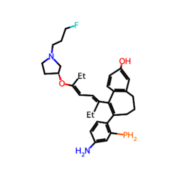 CC/C(=C\C=C(/CC)C1=C(c2ccc(N)cc2P)CCCc2cc(O)ccc21)O[C@H]1CCN(CCCF)C1